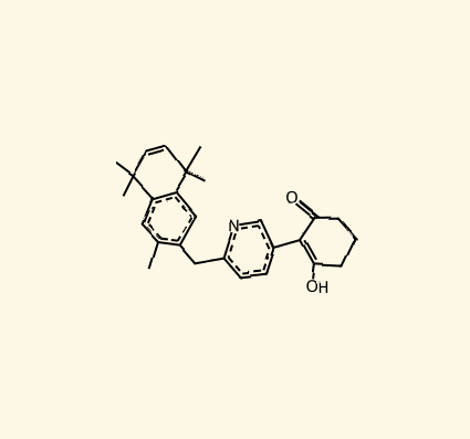 Cc1cc2c(cc1Cc1ccc(C3=C(O)CCCC3=O)cn1)C(C)(C)C=CC2(C)C